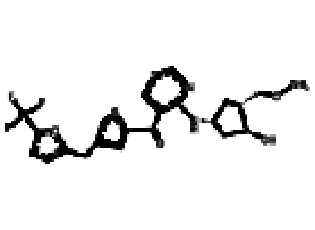 NOC[C@H]1C[C@@H](Nc2ncncc2C(=O)c2cc(Cc3ccc(C(F)(F)F)o3)cs2)C[C@@H]1O